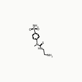 CN(C(=S)NCCN)c1ccc(S(N)(=O)=O)cc1